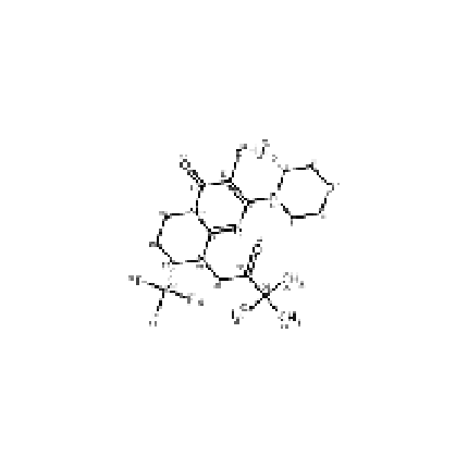 C[C@@H]1COCCN1c1nc2n(c(=O)c1F)CC[C@@H](C(F)(F)F)N2CC(=O)C(C)(C)C